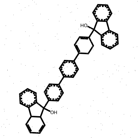 OC1(C2=CC=C(c3ccc(-c4ccc(C5(O)c6ccccc6C6C=CC=CC65)cc4)cc3)CC2)c2ccccc2-c2ccccc21